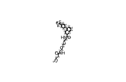 COCCC(=O)NCCOCCOCCNC(=O)c1ccc2c(-c3ccc(C(F)(F)F)cc3)cccc2c1